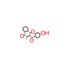 CC1=C(C(=O)c2ccc(O)cc2)C(=O)c2ccccc2C1=O